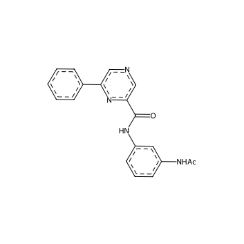 CC(=O)Nc1cccc(NC(=O)c2cncc(-c3ccccc3)n2)c1